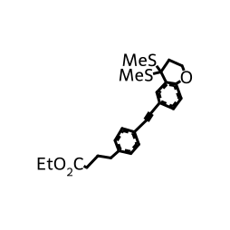 CCOC(=O)CCCc1ccc(C#Cc2ccc3c(c2)C(SC)(SC)CCO3)cc1